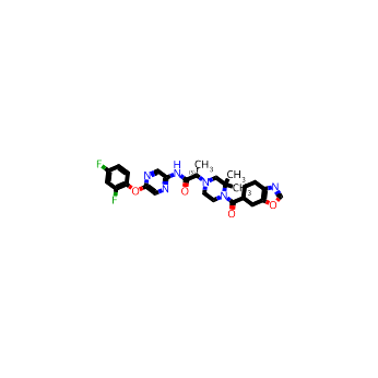 C[C@@H](C(=O)Nc1cnc(Oc2ccc(F)cc2F)cn1)N1CCN(C(=O)C2CCc3ncoc3C2)C(C)(C)C1